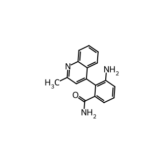 Cc1cc(-c2c(N)cccc2C(N)=O)c2ccccc2n1